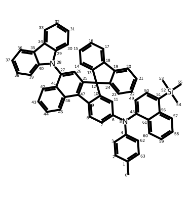 Cc1ccc(N(c2ccc3c(c2)C2(c4ccccc4-c4ccccc42)c2cc(-n4c5ccccc5c5ccccc54)c4ccccc4c2-3)c2ccc([Si](C)(C)C)c3ccccc23)cc1